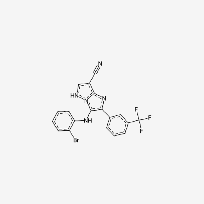 N#Cc1c[nH]n2c(Nc3ccccc3Br)c(-c3cccc(C(F)(F)F)c3)nc12